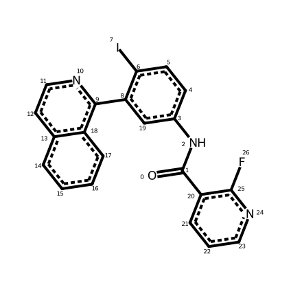 O=C(Nc1ccc(I)c(-c2nccc3ccccc23)c1)c1cccnc1F